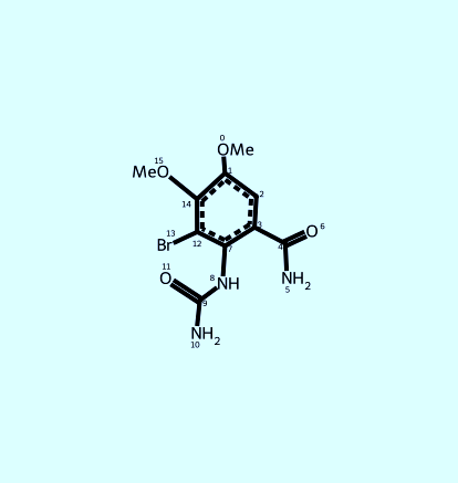 COc1cc(C(N)=O)c(NC(N)=O)c(Br)c1OC